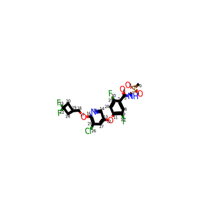 CS(=O)(=O)NC(=O)c1cc(F)c(Oc2cnc(OCC3CC(F)(F)C3)c(Cl)c2)cc1F